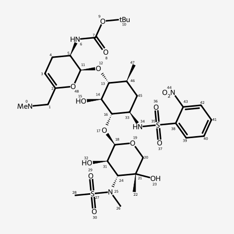 CNCC1=CC[C@@H](NC(=O)OC(C)(C)C)[C@@H](O[C@H]2[C@H](O)[C@@H](O[C@H]3OC[C@](C)(O)[C@H](N(C)S(C)(=O)=O)[C@H]3O)[C@H](NS(=O)(=O)c3ccccc3[N+](=O)[O-])C[C@@H]2C)O1